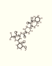 COc1cccc(C2=CN(CC(=O)N3CCC(N4CCc5ccccc5NC4=O)CC3)C(=O)N(C(C)C)C2)c1Cl